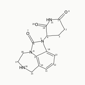 O=C1CCC(n2c(=O)n3c4c(cccc42)CNCC3)C(=O)N1